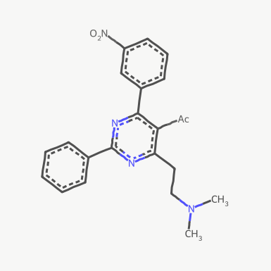 CC(=O)c1c(CCN(C)C)nc(-c2ccccc2)nc1-c1cccc([N+](=O)[O-])c1